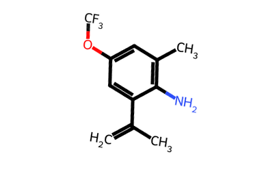 C=C(C)c1cc(OC(F)(F)F)cc(C)c1N